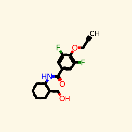 C#CCOc1c(F)cc(C(=O)NC2CCCCC2CO)cc1F